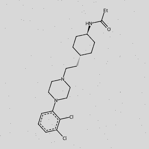 CCC(=O)N[C@H]1CC[C@H](CCN2CCN(c3cccc(Cl)c3Cl)CC2)CC1